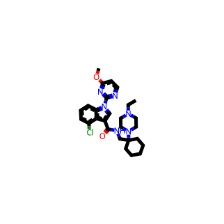 CCN1CCN(C2(CNC(=O)c3cn(-c4nccc(OC)n4)c4cccc(Cl)c34)CCCCC2)CC1